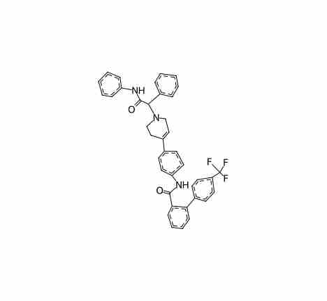 O=C(Nc1ccc(C2=CCN(C(C(=O)Nc3ccccc3)c3ccccc3)CC2)cc1)c1ccccc1-c1ccc(C(F)(F)F)cc1